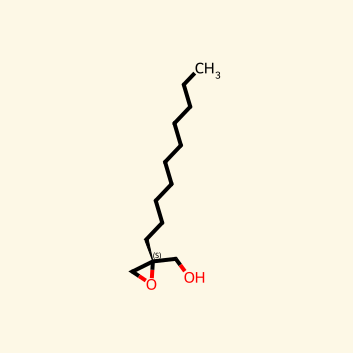 CCCCCCCCCC[C@]1(CO)CO1